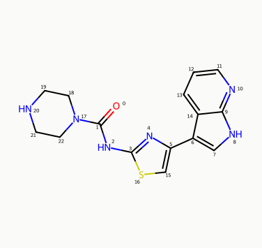 O=C(Nc1nc(-c2c[nH]c3ncccc23)cs1)N1CCNCC1